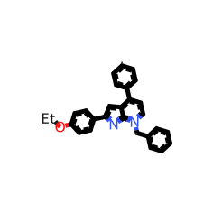 CCOc1ccc(-c2cc3c(-c4cc[c]cc4)ccn(Cc4ccccc4)c-3n2)cc1